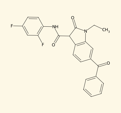 CCN1C(=O)C(C(=O)Nc2ccc(F)cc2F)c2ccc(C(=O)c3ccccc3)cc21